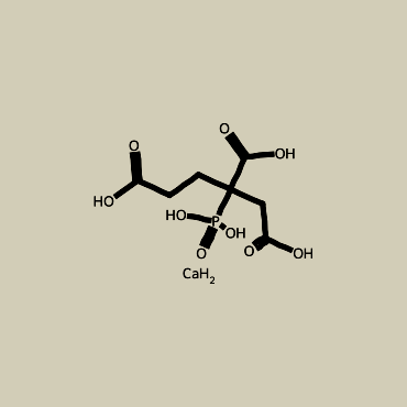 O=C(O)CCC(CC(=O)O)(C(=O)O)P(=O)(O)O.[CaH2]